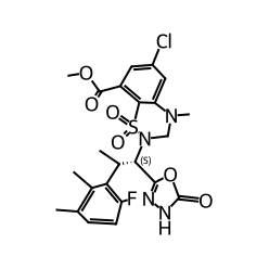 COC(=O)c1cc(Cl)cc2c1S(=O)(=O)N([C@H](c1n[nH]c(=O)o1)C(C)c1c(F)ccc(C)c1C)CN2C